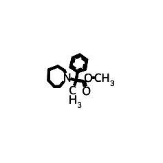 COC(=O)C(C)(c1ccccc1)N1CCCCCC1